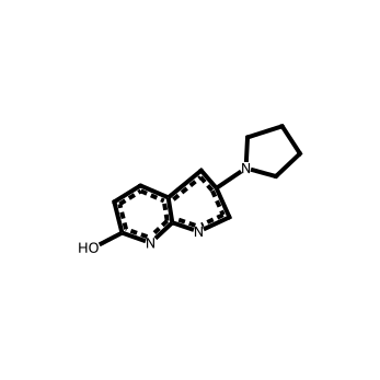 Oc1ccc2cc(N3CCCC3)cnc2n1